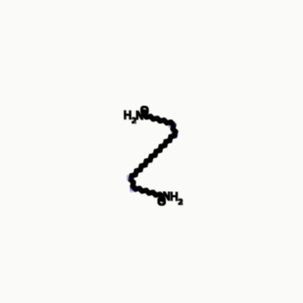 NC(=O)CCCCCCC/C=C\C/C=C\CCCCCCCCCCCCCCCC/C=C\C/C=C\CCCCCCCC(N)=O